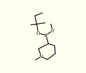 CCC(C)(C)OB(OC)C1CCCN(C)C1